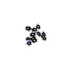 c1ccc(-c2cc(-c3ccccc3)cc(N(c3ccc(-c4cc5ccccc5c5ccccc45)cc3)c3cccc(-c4cc5ccccc5c5c4c4ccccc4n5-c4ccccc4)c3)c2)cc1